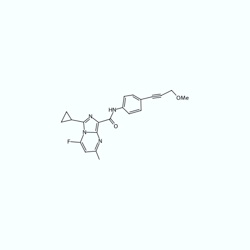 COCC#Cc1ccc(NC(=O)c2nc(C3CC3)n3c(F)cc(C)nc23)cc1